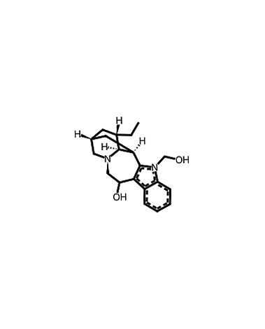 CC[C@H]1C[C@@H]2C[C@H]3c4c(c5ccccc5n4CO)C(O)C[N@@](C2)[C@@H]13